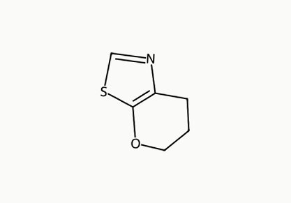 c1nc2c(s1)OCCC2